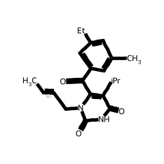 C/C=C/Cn1c(C(=O)c2cc(C)cc(CC)c2)c(C(C)C)c(=O)[nH]c1=O